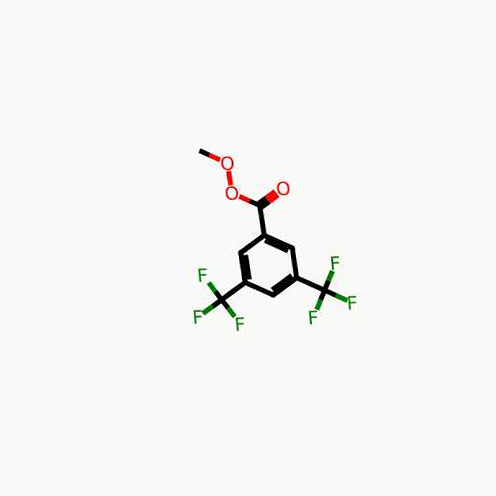 COOC(=O)c1cc(C(F)(F)F)cc(C(F)(F)F)c1